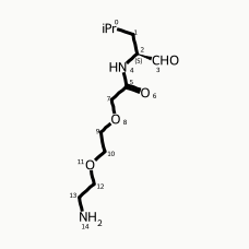 CC(C)C[C@@H](C=O)NC(=O)COCCOCCN